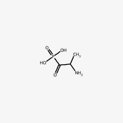 CC(N)C(=O)P(=O)(O)O